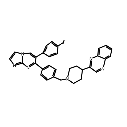 Fc1ccc(-c2cn3ccnc3nc2-c2ccc(CN3CCC(c4cnc5ccccc5n4)CC3)cc2)cc1